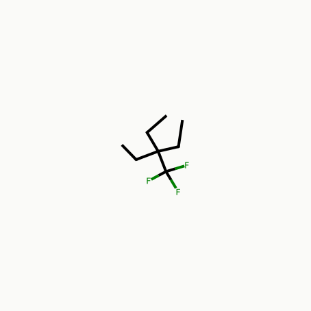 CCC(CC)(CC)C(F)(F)F